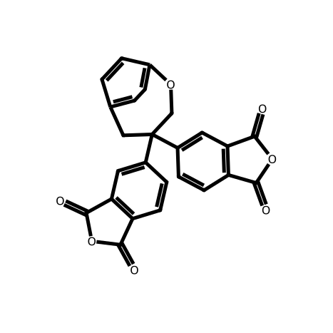 O=C1OC(=O)c2cc(C3(c4ccc5c(c4)C(=O)OC5=O)COc4ccc(cc4)C3)ccc21